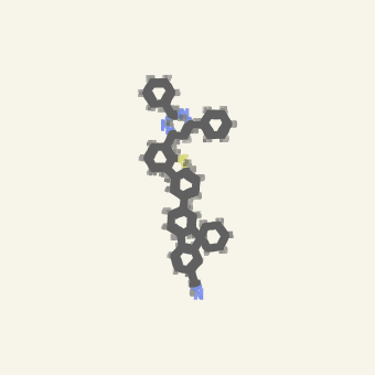 N#Cc1ccc2c(c1)C1(CCCCC1)c1cc(-c3ccc4sc5c(-c6cc(-c7ccccc7)nc(-c7ccccc7)n6)cccc5c4c3)ccc1-2